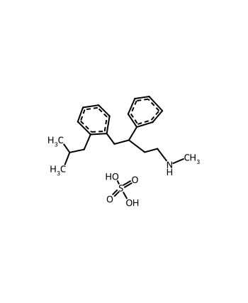 CNCCC(Cc1ccccc1CC(C)C)c1ccccc1.O=S(=O)(O)O